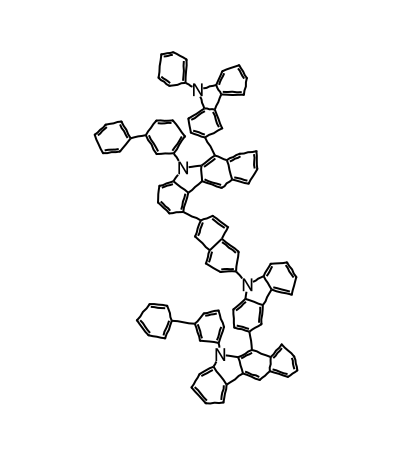 c1ccc(-c2cccc(-n3c4ccccc4c4cc5ccccc5c(-c5ccc6c(c5)c5ccccc5n6-c5ccc6cc(-c7cccc8c7c7cc9ccccc9c(-c9ccc%10c(c9)c9ccccc9n%10-c9ccccc9)c7n8-c7cccc(-c8ccccc8)c7)ccc6c5)c43)c2)cc1